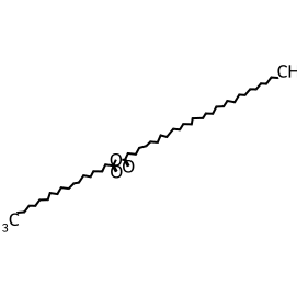 CCCCCCCCCCCCCCCCCCCCCCCCCCCCCC(=O)OC(=O)CCCCCCCCCCCCCCCCCC